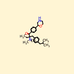 CCC(Cc1ccc(CC(C)C)cc1)(C(=O)c1ccc(C2CNCCO2)cc1)N(C)C